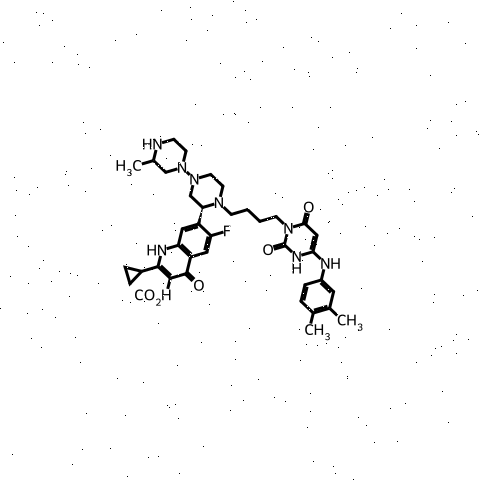 Cc1ccc(Nc2cc(=O)n(CCCCN3CCN(N4CCNC(C)C4)C[C@@H]3c3cc4[nH]c(C5CC5)c(C(=O)O)c(=O)c4cc3F)c(=O)[nH]2)cc1C